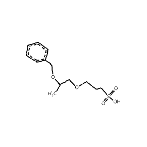 CC(COCCCS(=O)(=O)O)OCc1ccccc1